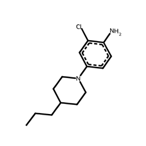 CCCC1CCN(c2ccc(N)c(Cl)c2)CC1